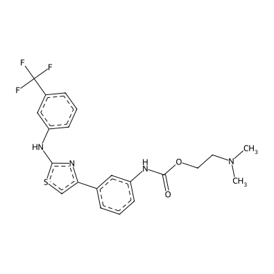 CN(C)CCOC(=O)Nc1cccc(-c2csc(Nc3cccc(C(F)(F)F)c3)n2)c1